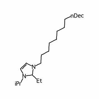 CCCCCCCCCCCCCCCCCCN1C=CN(C(C)C)C1CC